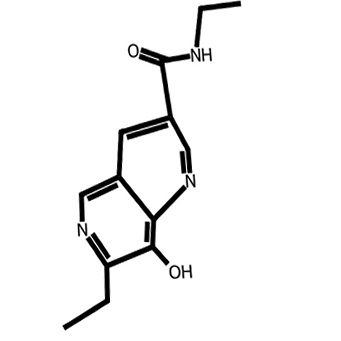 CCNC(=O)c1cnc2c(O)c(CC)ncc2c1